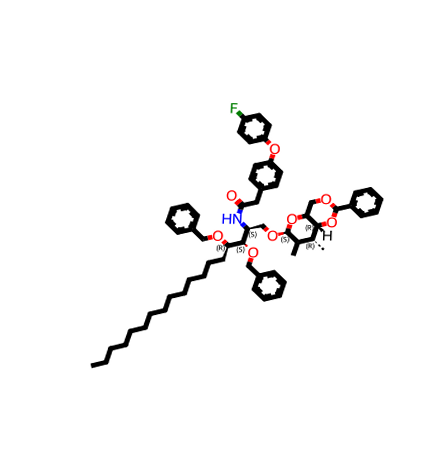 CCCCCCCCCCCCCC[C@@H](OCc1ccccc1)[C@@H](OCc1ccccc1)[C@H](CO[C@H]1OC2COC(c3ccccc3)O[C@@H]2[C@H](C)C1C)NC(=O)Cc1ccc(Oc2ccc(F)cc2)cc1